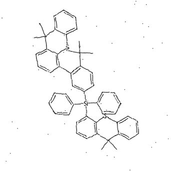 CC(C)(C)c1ccc([Si](c2ccccc2)(c2ccccc2)c2cccc3c2Sc2ccccc2C3(C)C)cc1-c1cccc2c1Sc1ccccc1C2(C)C